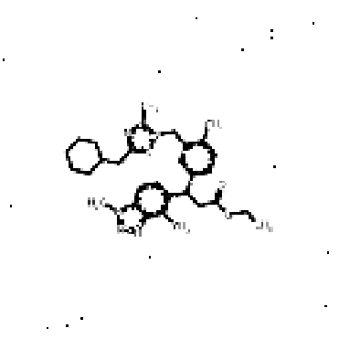 CCOC(=O)CC(c1ccc(C)c(Cn2nc(CC3CCCCC3)nc2C)c1)c1ccc2c(nnn2C)c1C